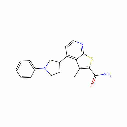 Cc1c(C(N)=O)sc2nccc(C3CCN(c4ccccc4)C3)c12